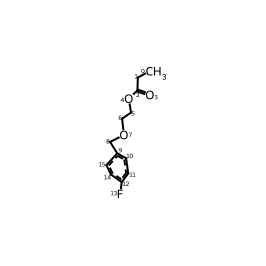 CCC(=O)OCCOCc1ccc(F)cc1